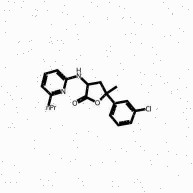 CCCc1cccc(NC2CC(C)(c3cccc(Cl)c3)OC2=O)n1